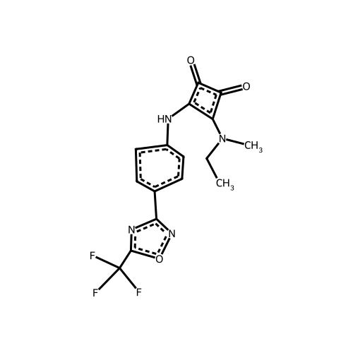 CCN(C)c1c(Nc2ccc(-c3noc(C(F)(F)F)n3)cc2)c(=O)c1=O